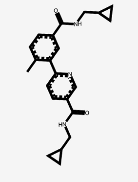 Cc1ccc(C(=O)NCC2CC2)cc1-c1ccc(C(=O)NCC2CC2)cn1